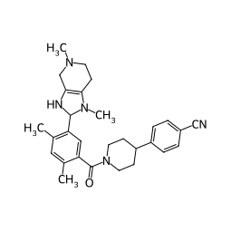 Cc1cc(C)c(C2NC3=C(CCN(C)C3)N2C)cc1C(=O)N1CCC(c2ccc(C#N)cc2)CC1